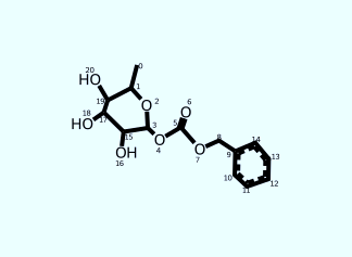 CC1OC(OC(=O)OCc2ccccc2)C(O)C(O)C1O